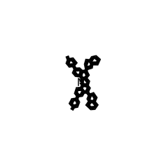 Cc1ccc(-c2ccc3c(c2)c(-c2ccc4ccccc4c2)cc2cc4cc(-c5ccc6ccccc6c5)c5cc(-c6ccc(C)cc6)ccc5c4nc23)cc1